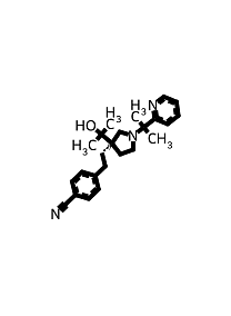 CC(C)(c1ccccn1)N1CC[C@@](CCc2ccc(C#N)cc2)(C(C)(C)O)C1